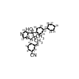 CC1(C)[C@H](c2ccc(C#N)cc2F)n2cncc2[C@@]1(O)c1ccc(-c2ccccc2)cc1